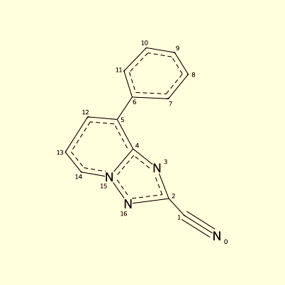 N#Cc1nc2c(-c3ccccc3)cccn2n1